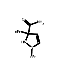 CCCN1C=CC(CCC)(C(N)=O)N1